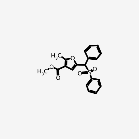 COC(=O)c1cc(C(c2ccccc2)S(=O)(=O)c2ccccc2)oc1C